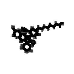 CCCCCCCCCc1ccc(OC(=O)C2(c3ccc(CC(C)C)cc3)CCCCC2)c(C#N)c1